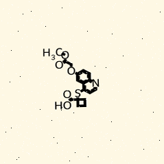 COC(=O)COc1ccc2nccc(SC3(C(=O)O)CCC3)c2c1